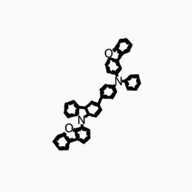 C1=CC2C(C=C1c1ccc(N(c3ccccc3)c3ccc4oc5ccccc5c4c3)cc1)c1ccccc1N2c1cccc2c1oc1ccccc12